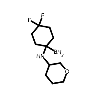 BC1(NC2CCCOC2)CCC(F)(F)CC1